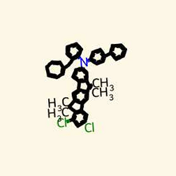 CC1(C)c2cc(N(c3ccc(-c4ccccc4)cc3)c3ccccc3CC3=CC=CCC=C3)ccc2-c2cc3c(cc21)-c1cc(Cl)cc(Cl)c1C3(C)C